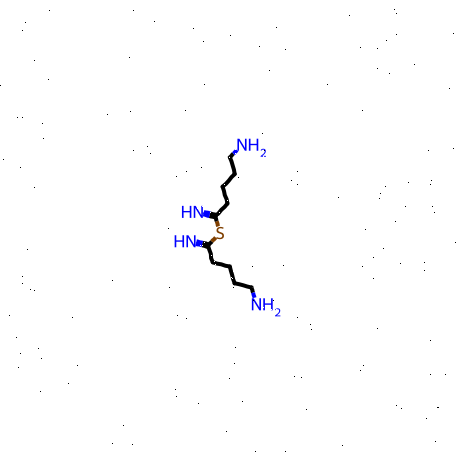 N=C(CCCCN)SC(=N)CCCCN